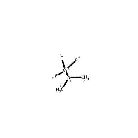 C[N](C)[W]([F])([F])[F]